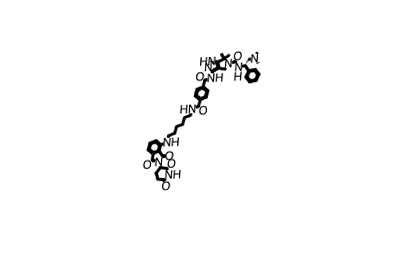 CN(C)C[C@@H](NC(=O)N1Cc2c(NC(=O)c3ccc(C(=O)NCCCCCCNc4cccc5c4C(=O)N(C4CCC(=O)NC4=O)C5=O)cc3)n[nH]c2C1(C)C)c1ccccc1